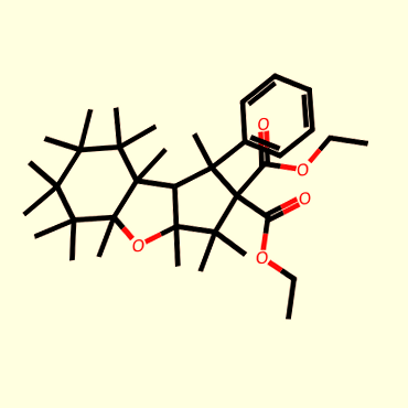 CCOC(=O)C1(C(=O)OCC)C(C)(c2ccccc2)C2C(C)(OC3(C)C(C)(C)C(C)(C)C(C)(C)C(C)(C)C23C)C1(C)C